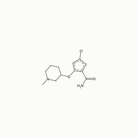 CN1CCCC(Oc2cc(Cl)sc2C(N)=O)C1